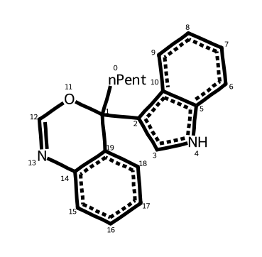 CCCCCC1(c2c[nH]c3ccccc23)OC=Nc2ccccc21